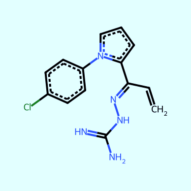 C=CC(=NNC(=N)N)c1cccn1-c1ccc(Cl)cc1